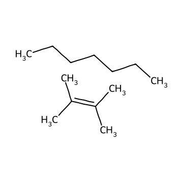 CC(C)=C(C)C.CCCCCCC